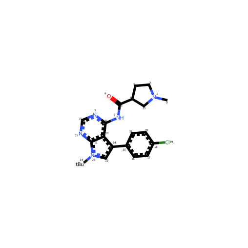 CN1CCC(C(=O)Nc2ncnc3c2c(-c2ccc(Cl)cc2)cn3C(C)(C)C)C1